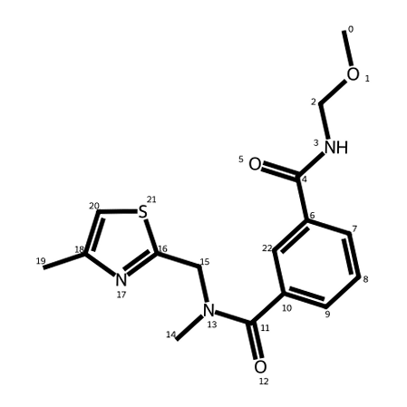 COCNC(=O)c1cccc(C(=O)N(C)Cc2nc(C)cs2)c1